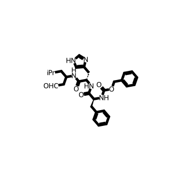 CC(C)CC(CC=O)NC(=O)[C@H](Cc1c[nH]cn1)NC(=O)[C@H](Cc1ccccc1)NC(=O)OCc1ccccc1